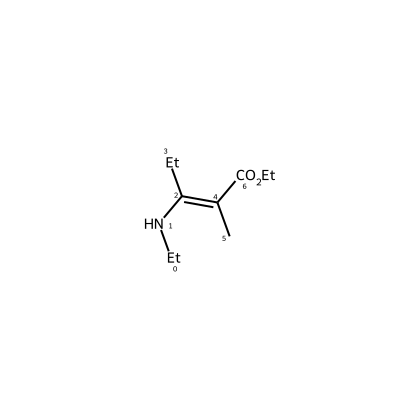 CCNC(CC)=C(C)C(=O)OCC